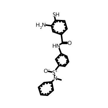 CN(c1ccccc1)[S+]([O-])c1cccc(NC(=O)c2ccc(S)c(N)c2)c1